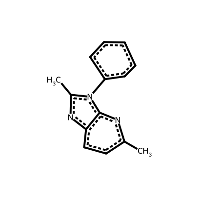 Cc1ccc2nc(C)n(-c3ccccc3)c2n1